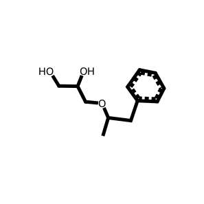 CC(Cc1ccccc1)OCC(O)CO